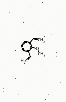 C=[C]c1cccc(C=C)c1OC